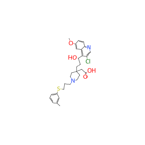 COc1ccc2ncc(Cl)c([C@@H](O)CCC3(CC(=O)O)CCN(CCCSc4cccc(C)c4)CC3)c2c1